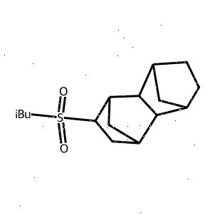 CCC(C)S(=O)(=O)C1CC2CC1C1C3CCC(C3)C21